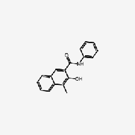 Cc1c(O)c(C(=O)Nc2ccccc2)cc2ccccc12